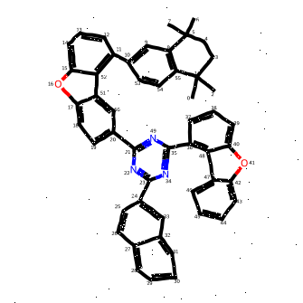 CC1(C)CCC(C)(C)c2cc(-c3cccc4oc5ccc(-c6nc(-c7ccc8ccccc8c7)nc(-c7cccc8oc9ccccc9c78)n6)cc5c34)ccc21